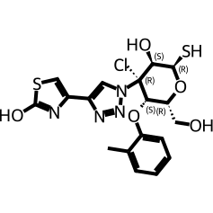 Cc1ccccc1O[C@H]1[C@@H](CO)O[C@H](S)[C@H](O)[C@]1(Cl)n1cc(-c2csc(O)n2)nn1